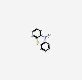 CC(=O)N(c1ccccc1)c1ccccc1S